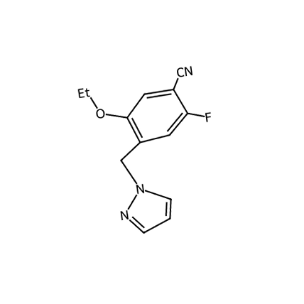 CCOc1cc(C#N)c(F)cc1Cn1cccn1